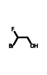 OCC(F)Br